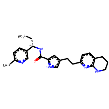 COc1ccc([C@H](CC(=O)O)NC(=O)c2cc(CCc3ccc4c(n3)NCCC4)c[nH]2)cn1